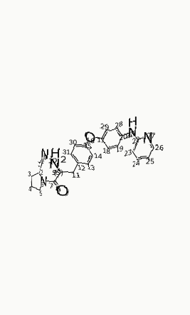 N#CC1CCCN1C(=O)[C@@H](N)Cc1ccc(Oc2ccc(Nc3ccccn3)cc2)cc1